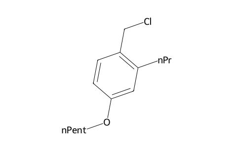 CCCCCOc1ccc(CCl)c(CCC)c1